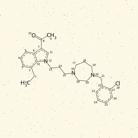 CCc1cccc2c(C(C)=O)cn(CCCN3CCCN(Cc4ccccc4Cl)CC3)c12